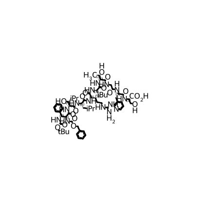 CC[C@H](C)[C@H](NC(=O)[C@@H](CCCNC(=N)N)NC(=O)[C@H](CC(C)C)NC(=O)[C@@H](NC(=O)[C@@H](NC(=O)OCc1ccccc1)[C@H](NC(=O)OC(C)(C)C)c1ccccc1)[C@H](O)C(C)C)C(=O)N[C@H](C(=O)NCC(=O)N[C@@H](Cc1cccnc1)C(=O)N[C@@H](CO)C(=O)O)[C@H](C)O